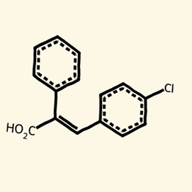 O=C(O)C(=Cc1ccc(Cl)cc1)c1ccccc1